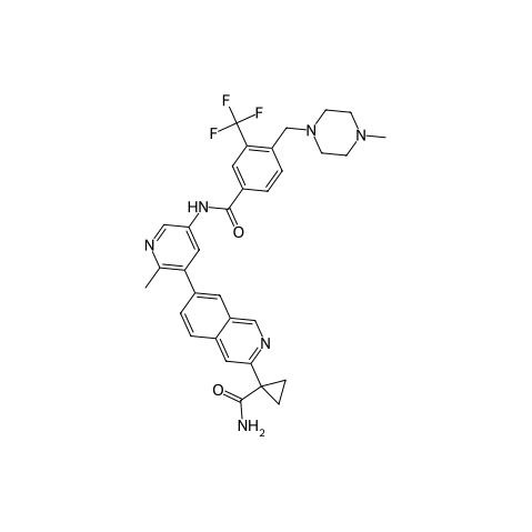 Cc1ncc(NC(=O)c2ccc(CN3CCN(C)CC3)c(C(F)(F)F)c2)cc1-c1ccc2cc(C3(C(N)=O)CC3)ncc2c1